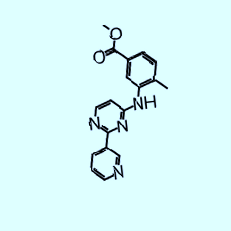 COC(=O)c1ccc(C)c(Nc2ccnc(-c3cccnc3)n2)c1